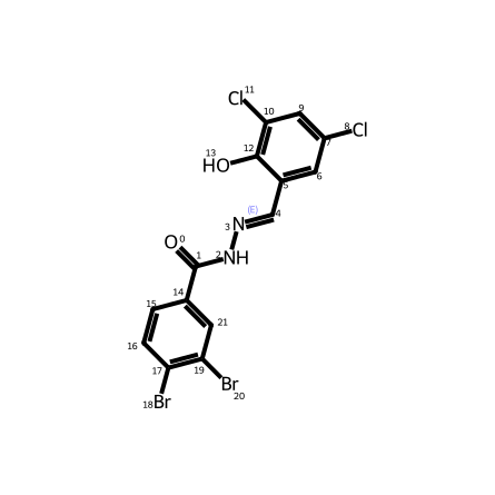 O=C(N/N=C/c1cc(Cl)cc(Cl)c1O)c1ccc(Br)c(Br)c1